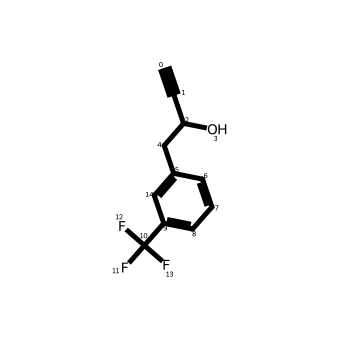 C#CC(O)Cc1cccc(C(F)(F)F)c1